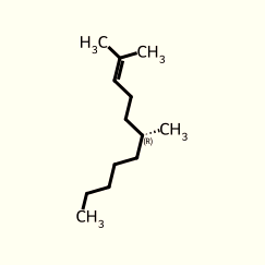 CCCCC[C@@H](C)CCC=C(C)C